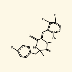 CN1C(=O)C(C)(Cc2ccc(F)cc2)NC(=O)C1=Cc1c(C#N)ccc(F)c1F